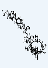 CC12CNCCNCC(NC(=O)CCCC(=O)NCc3ccc(-c4nnc(C(F)(F)F)nn4)cc3)(CNCCNC1)CNCCNC2